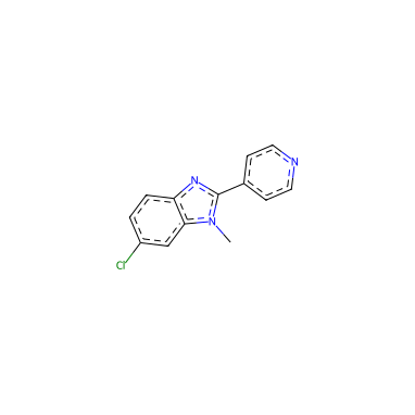 Cn1c(-c2ccncc2)nc2ccc(Cl)cc21